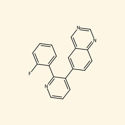 Fc1ccccc1-c1ncccc1-c1ccc2ncncc2c1